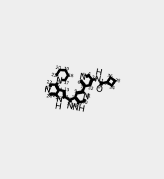 O=C(Nc1cncc(-c2cc3c(-c4cc5c(N6CCCCC6)cncc5[nH]4)n[nH]c3cn2)c1)C1CCC1